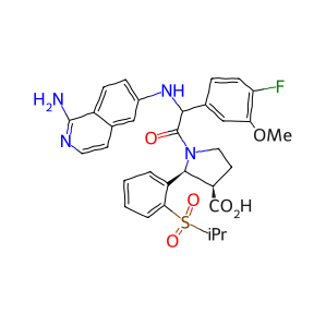 COc1cc(C(Nc2ccc3c(N)nccc3c2)C(=O)N2CC[C@@H](C(=O)O)[C@H]2c2ccccc2S(=O)(=O)C(C)C)ccc1F